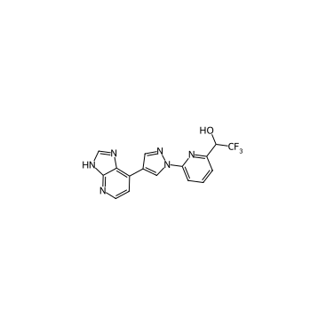 OC(c1cccc(-n2cc(-c3ccnc4[nH]cnc34)cn2)n1)C(F)(F)F